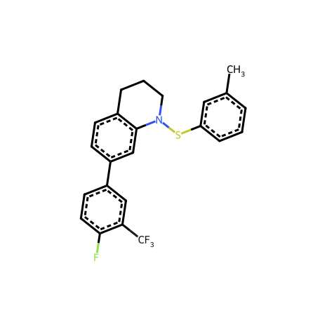 Cc1cccc(SN2CCCc3ccc(-c4ccc(F)c(C(F)(F)F)c4)cc32)c1